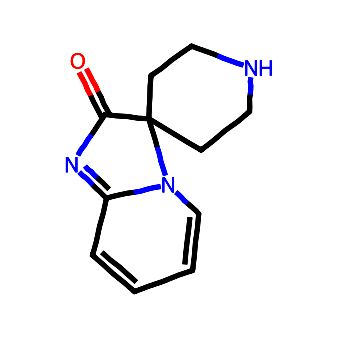 O=C1N=C2C=CC=CN2C12CCNCC2